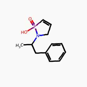 CC(Cc1ccccc1)N1CC=CP1(=O)O